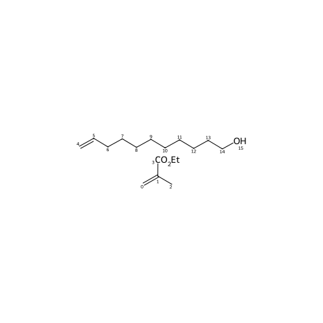 C=C(C)C(=O)OCC.C=CCCCCCCCCCO